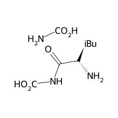 CC[C@H](C)[C@H](N)C(=O)NC(=O)O.NC(=O)O